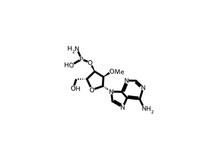 CO[C@@H]1[C@H](OP(N)O)[C@@H](CO)O[C@H]1n1cnc2c(N)ncnc21